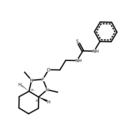 CN1[C@@H]2CCCC[C@H]2N(C)P1OCCNC(=S)Nc1ccccc1